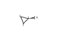 I[C@@H]1[CH]C1